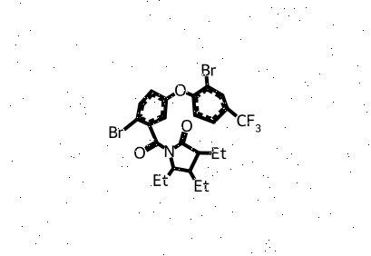 CCC1C(=O)N(C(=O)c2cc(Oc3ccc(C(F)(F)F)cc3Br)ccc2Br)C(CC)C1CC